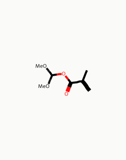 C=C(C)C(=O)OC(OC)OC